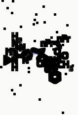 CCCC(CCC)COC(=O)[C@H](C)NP(=O)(OCC1(COC(C)=O)C/C1=C/n1cnc2c1N=C(N)NC2NC1CC1)Oc1ccccc1